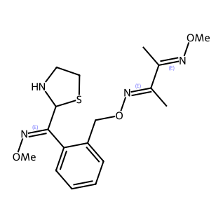 CO/N=C(C)/C(C)=N/OCc1ccccc1/C(=N\OC)C1NCCS1